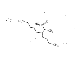 CCCCCC(CCCC)C(C)[PH](=O)O